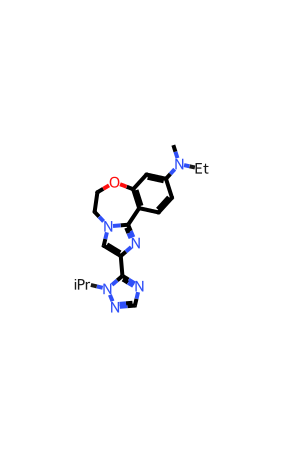 CCN(C)c1ccc2c(c1)OCCn1cc(-c3ncnn3C(C)C)nc1-2